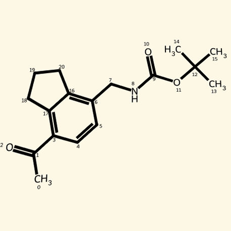 CC(=O)c1ccc(CNC(=O)OC(C)(C)C)c2c1CCC2